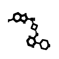 Fc1ccc2sc(N[C@H]3C[C@@H](Oc4nccnc4C4CCOCC4)C3)nc2c1